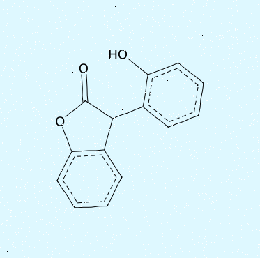 O=C1Oc2ccccc2C1c1ccccc1O